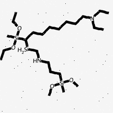 CCO[Si](C)(OCC)C(CCCCCCCN(CC)CC)[SiH2]CNCCC[Si](C)(OC)OC